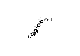 CCCCCc1ccc(C2=CCC(C(=O)Oc3ccc(-c4ccc(CC)c(F)c4F)c(F)c3F)CC2)c(F)c1F